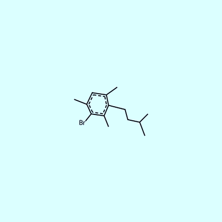 Cc1cc(C)c(CCC(C)C)c(C)c1Br